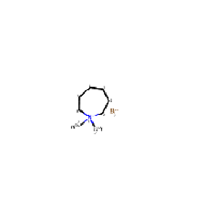 CCC[N+]1(CCC)CCCCCC1.[Br-]